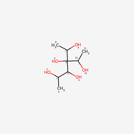 CC(O)[C](O)C(O)(C(C)O)C(C)O